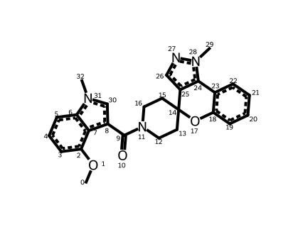 COc1cccc2c1c(C(=O)N1CCC3(CC1)Oc1ccccc1-c1c3cnn1C)cn2C